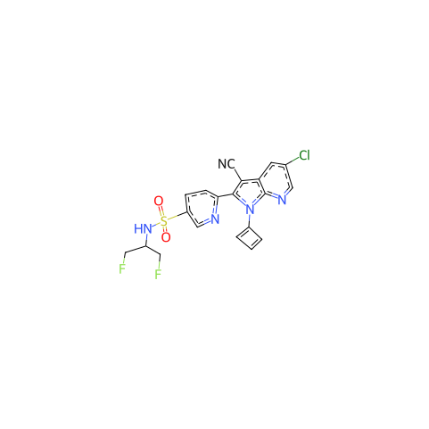 N#Cc1c(-c2ccc(S(=O)(=O)NC(CF)CF)cn2)n(C2=CC=C2)c2ncc(Cl)cc12